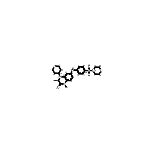 C[C@@H]1C(=O)N(C)c2ccc(Nc3ccc(S(=O)(=O)N4CCOCC4)cc3)cc2N1C1CCOCC1